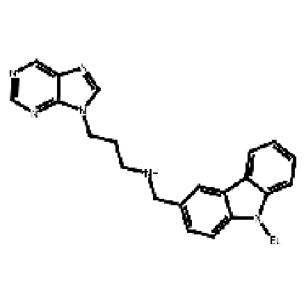 CCn1c2ccccc2c2cc(CNCCCn3cnc4cncnc43)ccc21